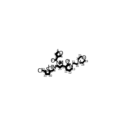 O=C(c1ccoc1)n1nc(-c2cccn(CCN3CCOCC3)c2=O)cc1NCc1ccc(Cl)s1